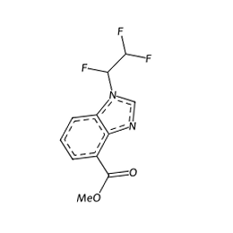 COC(=O)c1cccc2c1ncn2C(F)C(F)F